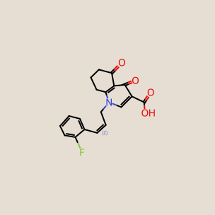 O=C(O)c1cn(C/C=C\c2ccccc2F)c2c(c1=O)C(=O)CCC2